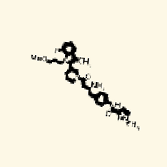 COCCCn1c(C2CCCN(C(=O)C[C@H](N)Cc3ccc(NC(=O)c4ccn(C)n4)cc3)C2)c(C)c2cccc(F)c21